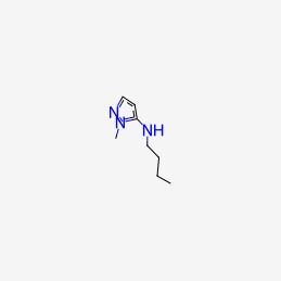 CCCCNc1ccnn1C